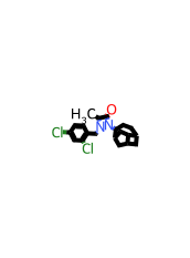 CC1C(=O)N(C2CCC3CC4CC2CC34)N1Cc1ccc(Cl)cc1Cl